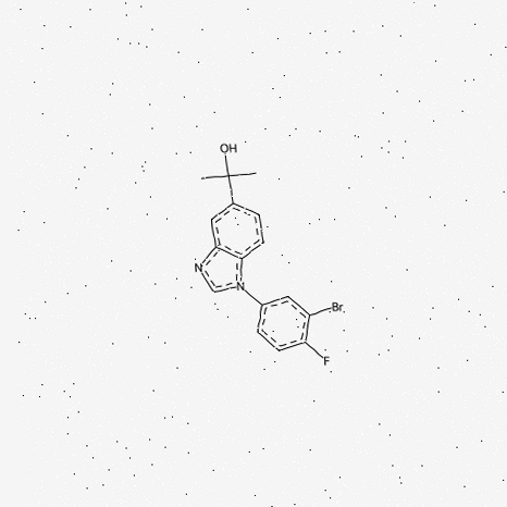 CC(C)(O)c1ccc2c(c1)ncn2-c1ccc(F)c(Br)c1